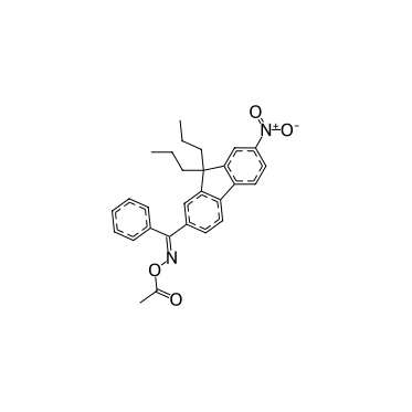 CCCC1(CCC)c2cc(/C(=N/OC(C)=O)c3ccccc3)ccc2-c2ccc([N+](=O)[O-])cc21